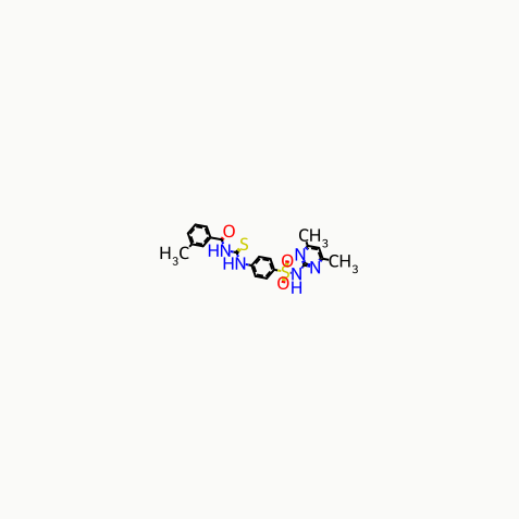 Cc1cccc(C(=O)NC(=S)Nc2ccc(S(=O)(=O)Nc3nc(C)cc(C)n3)cc2)c1